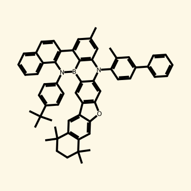 Cc1cc2c3c(c1)N(c1ccc(-c4ccccc4)cc1C)c1cc4oc5cc6c(cc5c4cc1B3N(c1ccc(C(C)(C)C)cc1)c1c-2ccc2ccccc12)C(C)(C)CCC6(C)C